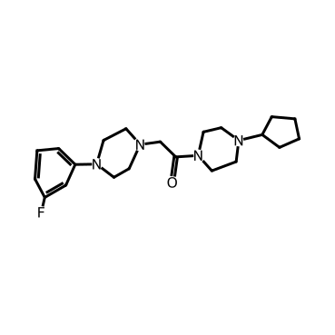 O=C(CN1CCN(c2cccc(F)c2)CC1)N1CCN(C2CCCC2)CC1